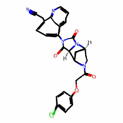 N#Cc1ccc(N2C(=O)[C@@H]3C4C[C@H](CN4C(=O)COc4ccc(Cl)cc4)N3C2=O)c2cccnc12